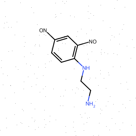 NCCNc1ccc(N=O)cc1N=O